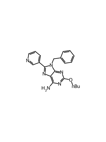 CCCCOc1nc(N)c2nc(-c3cccnc3)n(Cc3ccccc3)c2n1